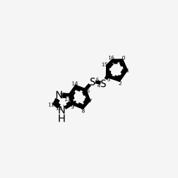 c1ccc(SSc2ccc3[nH]cnc3c2)cc1